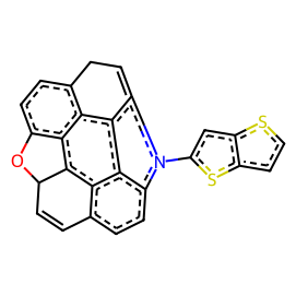 C1=CC2Oc3ccc4c5c3c2c2c1ccc1c2c5c(n1-c1cc2sccc2s1)=CC4